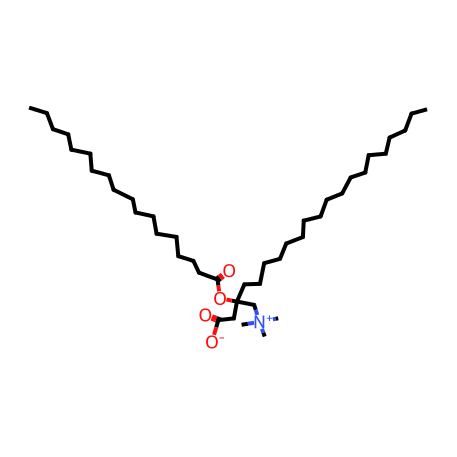 CCCCCCCCCCCCCCCCCCC(CC(=O)[O-])(C[N+](C)(C)C)OC(=O)CCCCCCCCCCCCCCCCC